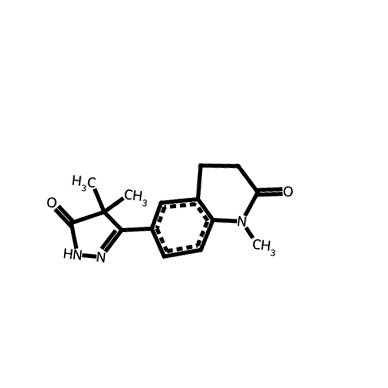 CN1C(=O)CCc2cc(C3=NNC(=O)C3(C)C)ccc21